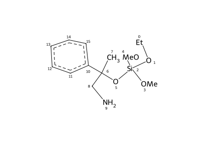 CCO[Si](OC)(OC)OC(C)(CN)c1ccccc1